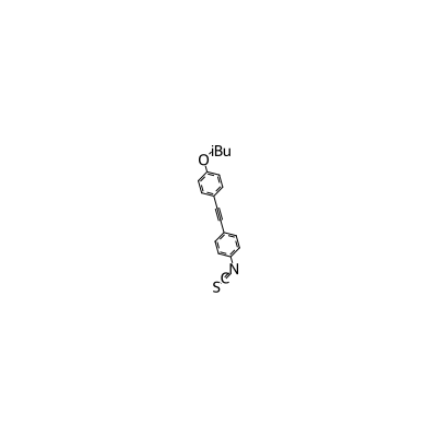 CCC(C)Oc1ccc(C#Cc2ccc(N=C=S)cc2)cc1